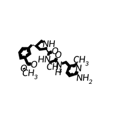 COC(=O)c1cccc(C[C@@H]2CN[C@@H](C(=O)NC(C)C(=O)NCc3ccc(N)nc3C)C2)c1